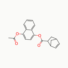 CC(=O)Oc1ccc(OC(=O)C2CC3C=CC2C3)c2ccccc12